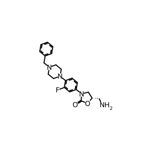 NC[C@H]1CN(c2ccc(N3CCN(Cc4ccccc4)CC3)c(F)c2)C(=O)O1